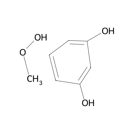 COO.Oc1cccc(O)c1